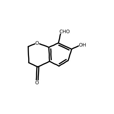 O=Cc1c(O)ccc2c1OCCC2=O